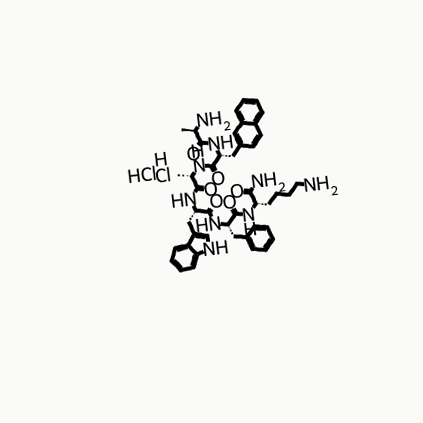 C[C@H](NC(=O)[C@@H](Cc1ccc2ccccc2c1)NC(=O)[C@@H](C)N)C(=O)N[C@@H](Cc1c[nH]c2ccccc12)C(=O)N[C@@H](Cc1ccccc1)C(=O)N[C@@H](CCCCN)C(N)=O.Cl.Cl